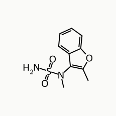 Cc1oc2ccccc2c1N(C)S(N)(=O)=O